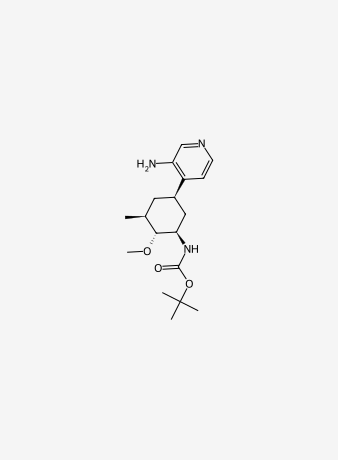 CO[C@@H]1[C@@H](C)C[C@@H](c2ccncc2N)C[C@H]1NC(=O)OC(C)(C)C